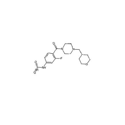 O=C(c1ccc(N[SH](=O)=O)cc1F)N1CCN(CC2CCOCC2)CC1